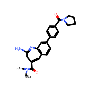 CCCCN(CCC)C(=O)C1=Cc2ccc(-c3ccc(C(=O)N4CCCC4)cc3)cc2N=C(N)C1